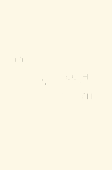 CC(C)CN1CCCC1(C)C(=O)O